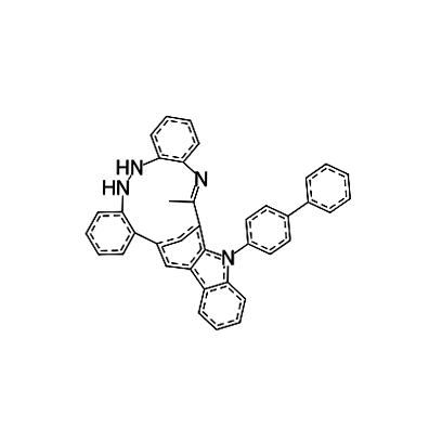 C/C1=N\c2ccccc2NNc2ccccc2-c2cc1c1c(c2)c2ccccc2n1-c1ccc(-c2ccccc2)cc1